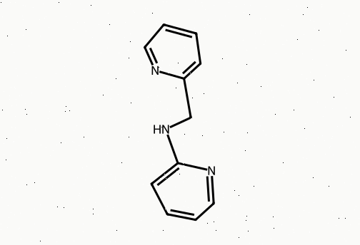 c1ccc(CNc2ccccn2)nc1